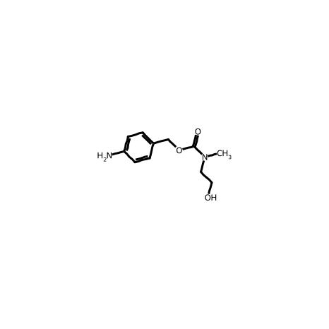 CN(CCO)C(=O)OCc1ccc(N)cc1